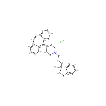 Cl.N#CC1(CCCN2CCC(=C3c4ccccc4C=Cc4ccccc43)CC2)CCc2ccccc21